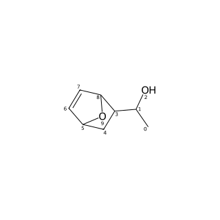 CC(O)C1CC2C=CC1O2